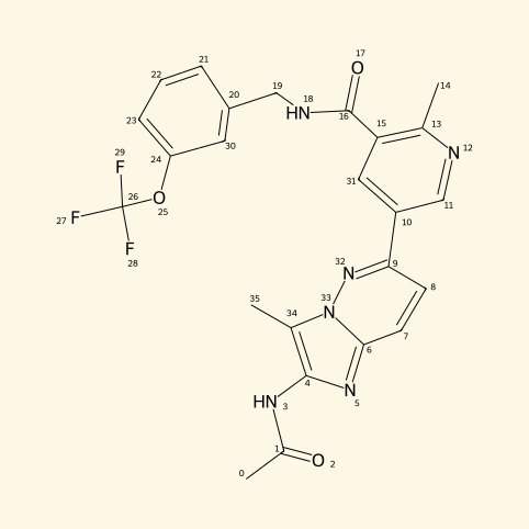 CC(=O)Nc1nc2ccc(-c3cnc(C)c(C(=O)NCc4cccc(OC(F)(F)F)c4)c3)nn2c1C